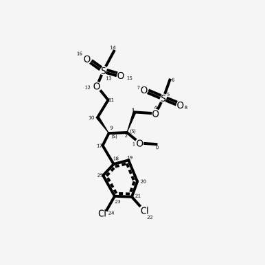 CO[C@H](COS(C)(=O)=O)[C@H](CCOS(C)(=O)=O)Cc1ccc(Cl)c(Cl)c1